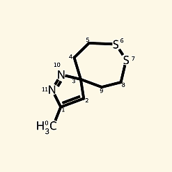 CC1=CC2(CCSSCC2)N=N1